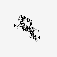 CNC(=O)COc1cc2cc(Nc3nc(N4CCC(OC5CC(N6C[C@@H](C)N(c7ccc8c(c7)CN([C@@H]7CCC(=O)NC7=O)C8=O)[C@H](C)C6)C5)CC4)ncc3Cl)ccc2n(C(C)C)c1=O